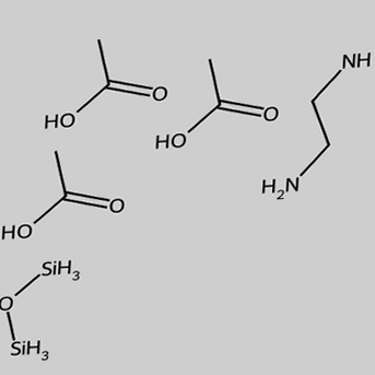 CC(=O)O.CC(=O)O.CC(=O)O.NCCN.[SiH3]O[SiH3]